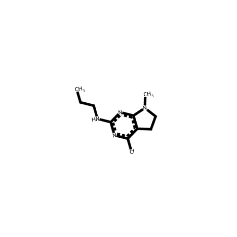 CCCNc1nc(Cl)c2c(n1)N(C)CC2